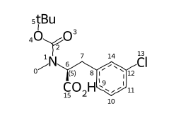 CN(C(=O)OC(C)(C)C)[C@@H](Cc1cccc(Cl)c1)C(=O)O